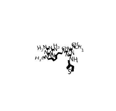 CN(C)c1nc(NCc2ccsc2)nc(N(C)CCc2ccc(CN(C)c3nc(N)nc(N)n3)[nH]2)n1